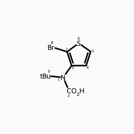 CC(C)(C)N(C(=O)O)c1ccsc1Br